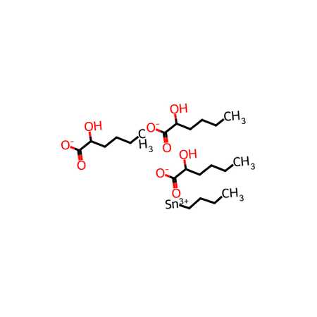 CCCCC(O)C(=O)[O-].CCCCC(O)C(=O)[O-].CCCCC(O)C(=O)[O-].CCC[CH2][Sn+3]